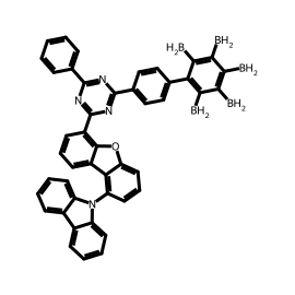 Bc1c(B)c(B)c(-c2ccc(-c3nc(-c4ccccc4)nc(-c4cccc5c4oc4cccc(-n6c7ccccc7c7ccccc76)c45)n3)cc2)c(B)c1B